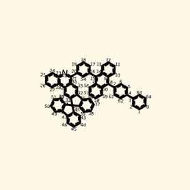 c1ccc(-c2ccc(-c3c4ccccc4c(-c4cccc(-c5nc6ccccc6c6cc7c(cc56)-c5ccccc5C75c6ccccc6-c6ccccc65)c4)c4ccccc34)cc2)cc1